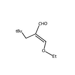 CCOC=C(C=O)CC(C)(C)C